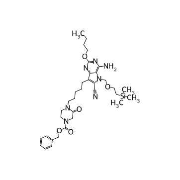 CCCCOc1nc(N)c2c(n1)c(CCCCCN1CCN(C(=O)OCc3ccccc3)CC1=O)c(C#N)n2COCC[Si](C)(C)C